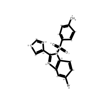 Cc1ccc(S(=O)(=O)n2c(-c3cscn3)nc3cc(Br)ccc32)cc1